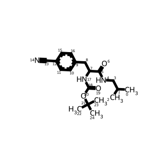 CC(C)CNC(=O)C(Cc1ccc(C#N)cc1)NC(=O)OC(C)(C)C